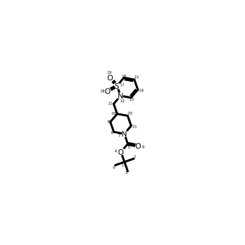 CC(C)(C)OC(=O)N1CCC(CN2C=CC=CS2(=O)=O)CC1